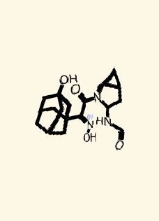 O=CNC1CC2CC2N1C(=O)/C(=N/O)C12CC3CC(CC(O)(C3)C1)C2